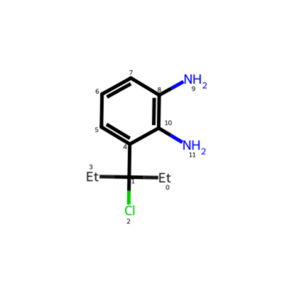 CCC(Cl)(CC)c1cccc(N)c1N